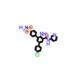 Nc1c(C(=O)Nc2cccnc2)cc(-c2ccc(Cl)cc2)cc1-c1ccc(S(N)(=O)=O)cc1